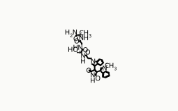 C[C@H](NC(=O)CNC(=O)[C@H](CO)NC(=O)CCn1cc(C2=C(c3cn(C)c4ccccc34)C(=O)NC2=O)c2ccccc21)C(N)=O